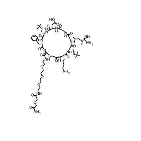 CC(C)(C)SC[C@@H]1NC(=O)[C@H](CCCCN)NC(=O)CS[C@@H](C(=O)NCCOCCOCCOCCNC(=O)COCC(N)=O)NC(=O)[C@H](Cc2ccccc2)NC(=O)[C@H](CSC(C)(C)C)NC(=O)[C@H](CC(=O)O)NC(=O)CNC(=O)[C@H](CCCNC(=N)N)NC1=O